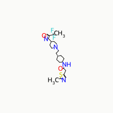 Cc1ncc(CC(=O)N[C@H]2CC[C@H](CCN3CCC(c4nocc4C(C)(F)F)CC3)CC2)s1